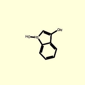 OC1=C[SH](O)c2ccccc21